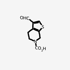 O=Cc1csc2c1CCN(C(=O)O)C2